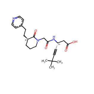 CC(C)(C)C#C[C@@H](CC(=O)O)NC(=O)CN1CCC[C@@H](CCc2ccncc2)C1=O